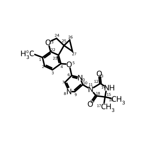 Cc1ccc(Oc2cncc(N3C(=O)NC(C)(C)C3=O)n2)c2c1OCC21CC1